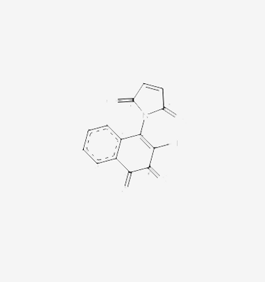 CC1=C(N2C(=O)C=CC2=O)c2ccccc2C(=O)C1=O